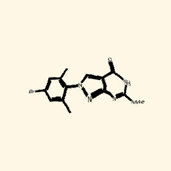 CNc1nc2nn(-c3c(C)cc(Br)cc3C)cc2c(=O)[nH]1